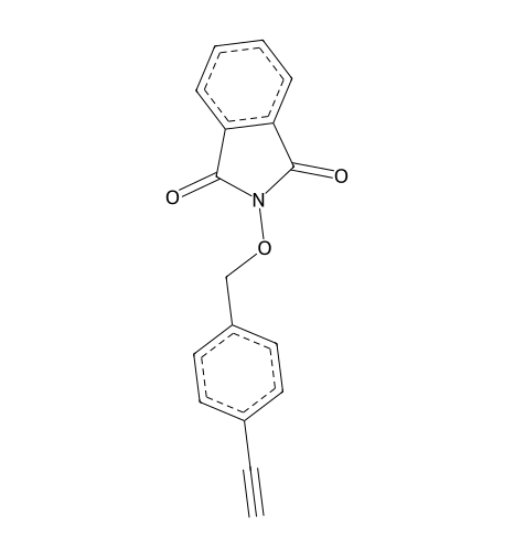 C#Cc1ccc(CON2C(=O)c3ccccc3C2=O)cc1